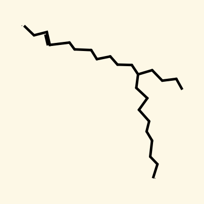 [CH2]C/C=C/CCCCCCCC(CCCC)CCCCCCCC[CH2]